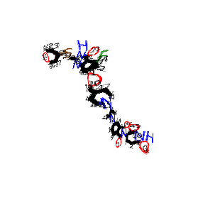 O=C1CCC(N2C(=O)c3ccc(N4CC(N5CCC(COc6cc(F)c7c(=O)[nH]c(CSC8CCOCC8)nc7c6)CC5)C4)cc3C2=O)C(=O)N1